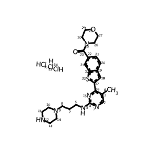 Cc1cnc(NCCCN2CCNCC2)nc1-c1cc2ccc(C(=O)N3CCOCC3)cc2s1.Cl.Cl.Cl